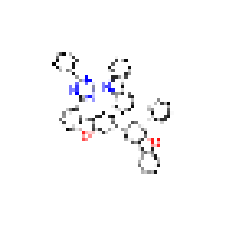 c1ccc(-c2nc(-c3cccc4oc5cc(-c6cc(-c7ccccc7)c7oc8ccccc8c7c6)ccc5c34)nc(-n3c4ccccc4c4ccccc43)n2)cc1